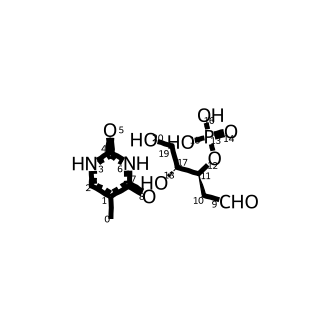 Cc1c[nH]c(=O)[nH]c1=O.O=CC[C@H](OP(=O)(O)O)[C@H](O)CO